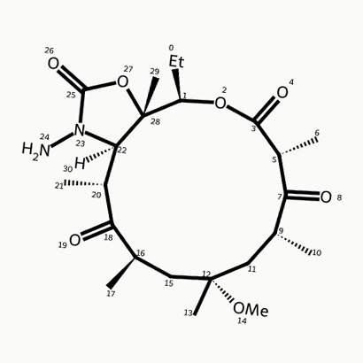 CC[C@H]1OC(=O)[C@H](C)C(=O)[C@H](C)C[C@](C)(OC)C[C@@H](C)C(=O)[C@H](C)[C@H]2N(N)C(=O)O[C@]12C